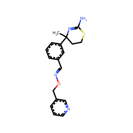 CC1(c2cccc(/C=N/OCc3cccnc3)c2)CCSC(N)=N1